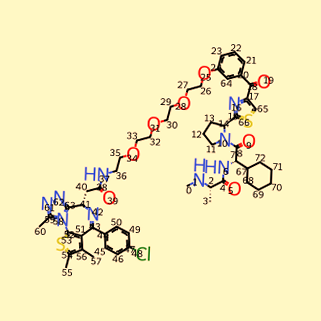 CN[C@@H](C)C(=O)N[C@H](C(=O)N1CCC[C@H]1c1nc(C(=O)c2cccc(OCCOCCOCCOCCNC(=O)C[C@@H]3N=C(c4ccc(Cl)cc4)c4c(sc(C)c4C)-n4c(C)nnc43)c2)cs1)C1CCCCC1